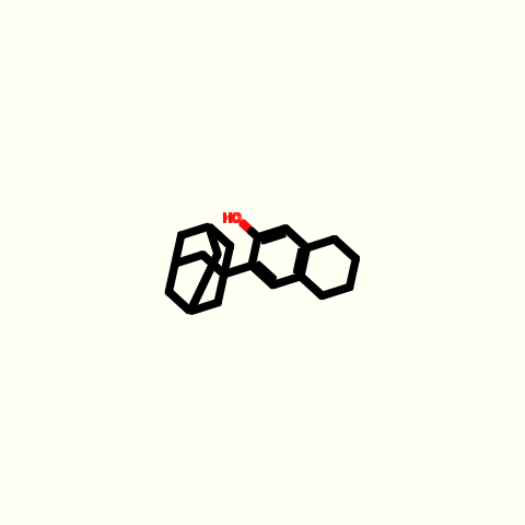 Oc1cc2c(cc1C13CC4CC(CC(C4)C1)C3)CCCC2